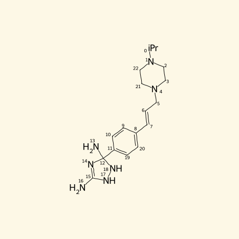 CC(C)N1CCN(CC=Cc2ccc(C3(N)N=C(N)NN3)cc2)CC1